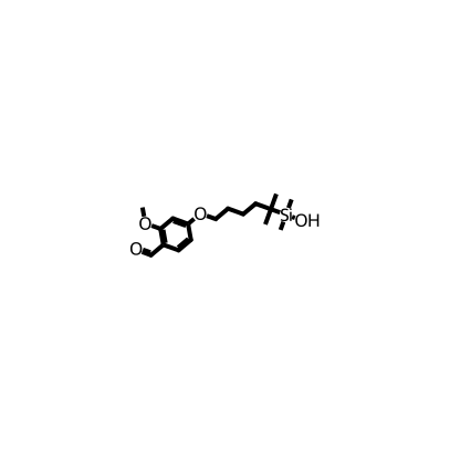 COc1cc(OCCCCC(C)(C)[Si](C)(C)O)ccc1C=O